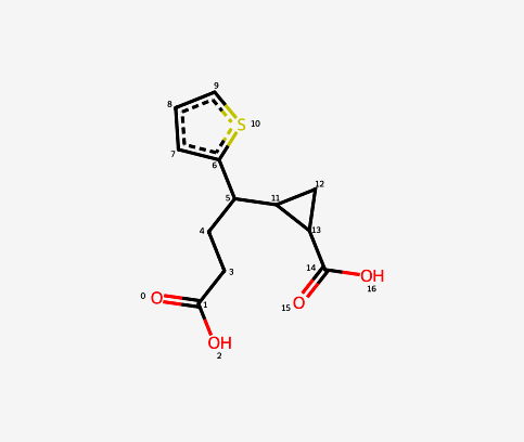 O=C(O)CCC(c1cccs1)C1CC1C(=O)O